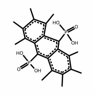 Cc1c(C)c(C)c2c(P(=O)(O)O)c3c(C)c(C)c(C)c(C)c3c(P(=O)(O)O)c2c1C